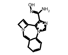 NC(=NO)c1ncn2c1C1=CCN1C=C1CC=CC=C12